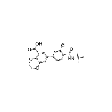 CC(C)(C)NC(=O)c1ccc(-c2cc3c(c(C(=O)O)c2)OCCO3)cc1Cl